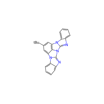 CC(C)(C)c1cc2c3c(c1)n1c4ccccc4nc1n3c1nc3ccccc3n21